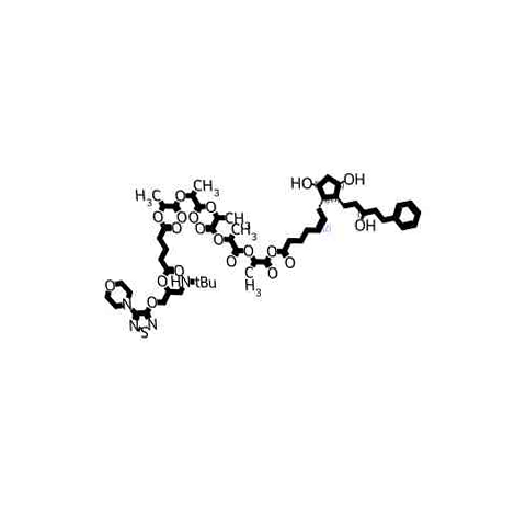 CC(OC(=O)CCCC(=O)OC(CNC(C)(C)C)COc1nsnc1N1CCOCC1)C(=O)OC(C)C(=O)OC(C)C(=O)OC(C)C(=O)OC(C)C(=O)OC(=O)CCC/C=C\C[C@H]1[C@H](CC[C@H](O)CCc2ccccc2)[C@@H](O)C[C@H]1O